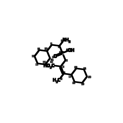 C/C(=C(/CP(=O)(O)C(N)CC1CCCCC1)C(=O)O)C1CCCCC1